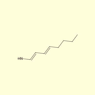 CCCCC=CC=C[NH]